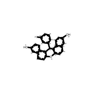 Oc1ccc2c3c(ccc2c1)Oc1ccc2cc(O)ccc2c1C3c1cccc(I)c1